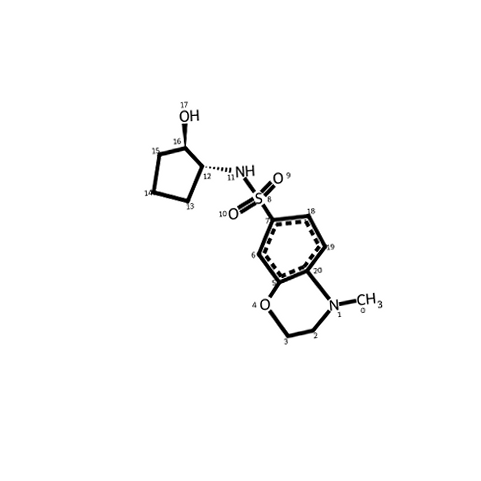 CN1CCOc2cc(S(=O)(=O)N[C@@H]3CCC[C@H]3O)ccc21